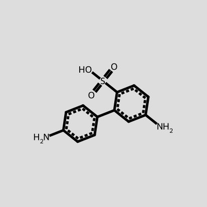 Nc1ccc(-c2cc(N)ccc2S(=O)(=O)O)cc1